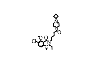 CCCN(CCCCC(=O)N1CCN(C2CCC2)CC1)C(=O)c1c(OC)ccc(Cl)c1OC